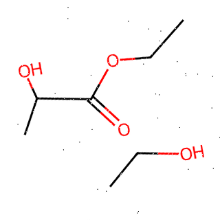 CCO.CCOC(=O)C(C)O